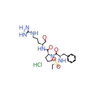 CCS(=O)(=O)N[C@H](Cc1ccccc1)C(=O)N1CCC[C@H]1C(=O)N[C@H](C=O)CCCNC(=N)N.Cl